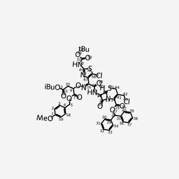 COc1ccc(COC(=O)C(CC(=O)OCC(C)C)ON=C(C(=O)N[C@@H]2C(=O)N3C(C(=O)OC(c4ccccc4)c4ccccc4)=C(CCl)CS[C@H]23)c2nc(NC(=O)OC(C)(C)C)sc2Cl)cc1